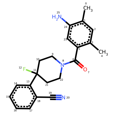 Cc1cc(C)c(C(=O)N2CCC(F)(c3ccccc3C#N)CC2)cc1N